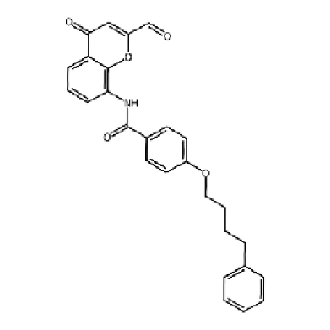 O=Cc1cc(=O)c2cccc(NC(=O)c3ccc(OCCCCc4ccccc4)cc3)c2o1